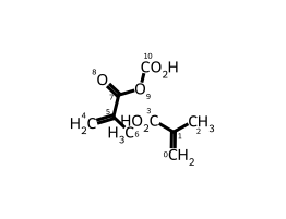 C=C(C)C(=O)O.C=C(C)C(=O)OC(=O)O